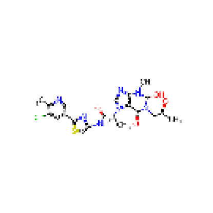 CC(=O)CN1C(=O)c2c(ncn2[C@@H](C)C(=O)Nc2csc(-c3cnc(C)c(Cl)c3)n2)N(C)C1O